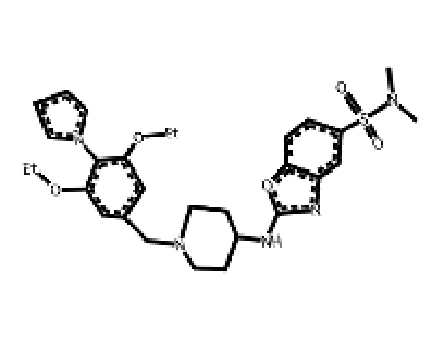 CCOc1cc(CN2CCC(Nc3nc4cc(S(=O)(=O)N(C)C)ccc4o3)CC2)cc(OCC)c1-n1cccc1